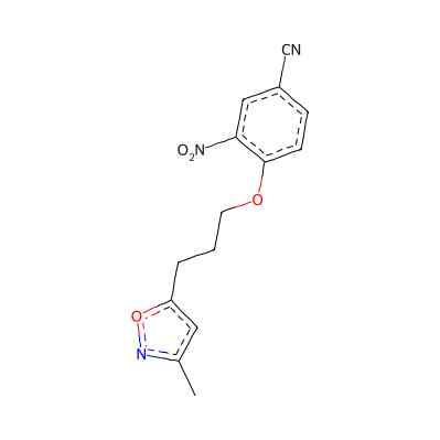 Cc1cc(CCCOc2ccc(C#N)cc2[N+](=O)[O-])on1